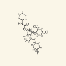 O=C(NN1CCCCC1)Oc1nn(-c2ccc(Cl)cc2Cl)c2c1CSC/C2=C\c1ccc(F)cc1